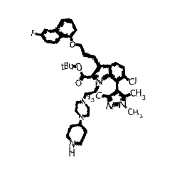 Cc1nn(C)c(C)c1-c1c(Cl)ccc2c(CCCOc3cccc4cc(F)ccc34)c(C(=O)OC(C)(C)C)n(CCN3CCN(C4CCNCC4)CC3)c12